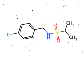 CC(C)S(=O)(=O)NCc1[c]cc(Cl)cc1